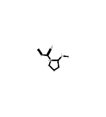 C=CC(=O)N1CCCC1OC